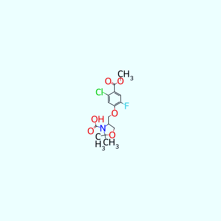 COC(=O)c1cc(F)c(OCC2COC(C)(C)N2C(=O)O)cc1Cl